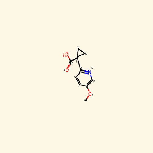 COc1ccc(C2(C(=O)O)CC2)nc1